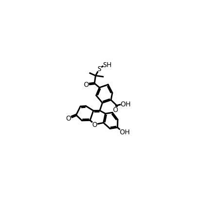 CC(C)(SS)C(=O)c1ccc(C(=O)O)c(-c2c3ccc(=O)cc-3oc3cc(O)ccc23)c1